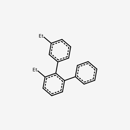 CCc1cccc(-c2c(CC)cccc2-c2ccccc2)c1